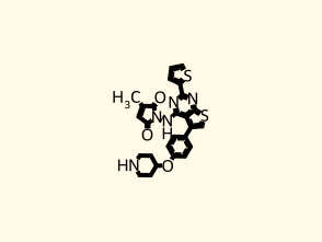 CC1=CC(=O)N(Nc2nc(-c3cccs3)nc3scc(-c4ccc(OC5CCNCC5)cc4)c23)C1=O